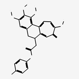 COc1cc2c(c(OC)c1OC)-c1ccc(SC)c(=O)cc1C(CC(=O)Oc1ccc(F)cc1)C2